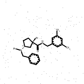 CC(C)N(Cc1ccccc1)[C@@H]1CC[C@@](C(=O)NCc2cc(C(F)(F)F)cc(C(F)(F)F)c2)(C(C)C)C1